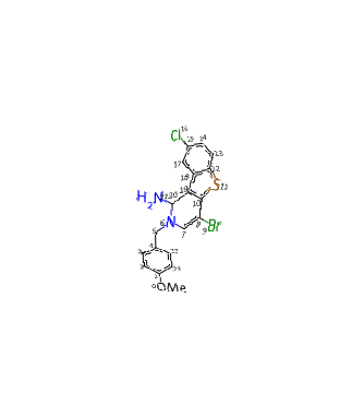 COc1ccc(CN2C=C(Br)c3sc4ccc(Cl)cc4c3C2N)cc1